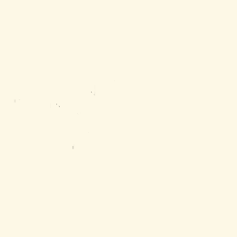 CC(C)c1cccc(C(C)C)c1NC(=O)NS(=O)(=O)c1ccc(-c2ccco2)cc1